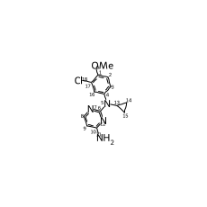 COc1ccc(N(c2nccc(N)n2)C2CC2)cc1Cl